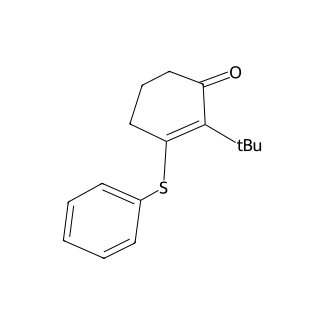 CC(C)(C)C1=C(Sc2ccccc2)CCCC1=O